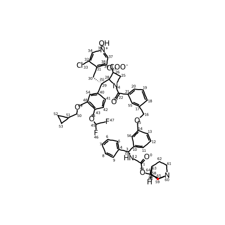 O=C(N[C@@H](c1ccccc1)c1cccc(OCc2cccc(C(=O)N3CC(C(=O)[O-])C3[C@@H](Cc3c(Cl)c[n+](O)cc3Cl)c3ccc(OC(F)F)c(OCC4CC4)c3)c2)c1)O[C@H]1CN2CCC1CC2